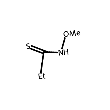 CCC(=S)NOC